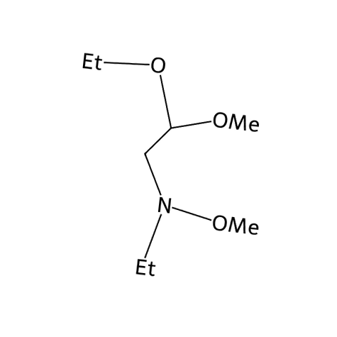 CCOC(CN(CC)OC)OC